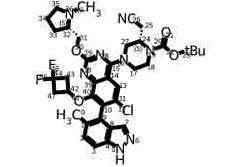 Cc1ccc2[nH]ncc2c1-c1c(Cl)cc2c(N3CCN(C(=O)OC(C)(C)C)[C@@H](CC#N)C3)nc(OC[C@@H]3CCCN3C)nc2c1OC1CC(F)(F)C1